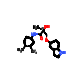 C[C@](O)(COc1ccc2[nH]ccc2c1)C(=O)Nc1ccc([N+](=O)[O-])c(C(F)(F)F)c1